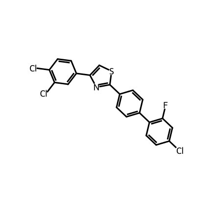 Fc1cc(Cl)ccc1-c1ccc(-c2nc(-c3ccc(Cl)c(Cl)c3)cs2)cc1